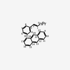 CCCC=Cc1ccccc1.c1ccc2cc3ccccc3cc2c1